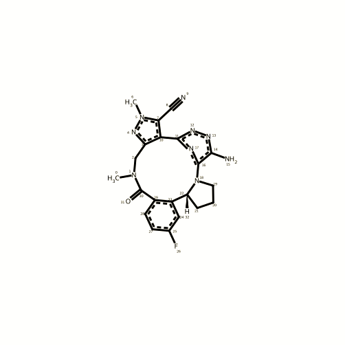 CN1Cc2nn(C)c(C#N)c2-c2nnc(N)c(n2)N2CCC[C@@H]2c2cc(F)ccc2C1=O